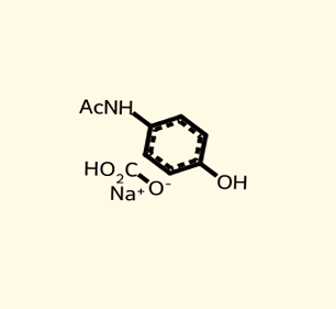 CC(=O)Nc1ccc(O)cc1.O=C([O-])O.[Na+]